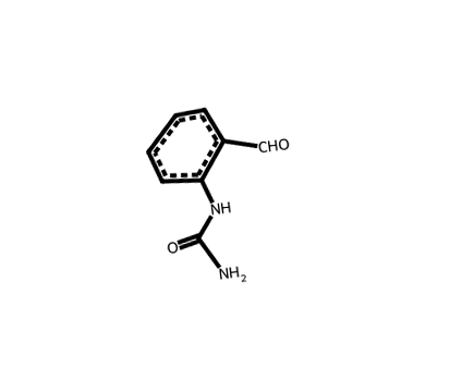 NC(=O)Nc1ccccc1C=O